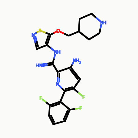 N=C(Nc1cnsc1OCC1CCNCC1)c1nc(-c2c(F)cccc2F)c(F)cc1N